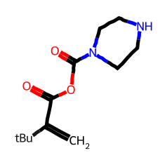 C=C(C(=O)OC(=O)N1CCNCC1)C(C)(C)C